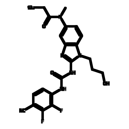 CN(C(=O)CC(C)(C)C)c1ccc2c(c1)nc(NC(=O)Nc1ccc(C#N)c(F)c1F)n2CCCO